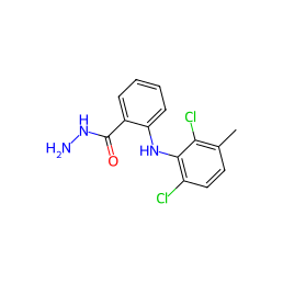 Cc1ccc(Cl)c(Nc2ccccc2C(=O)NN)c1Cl